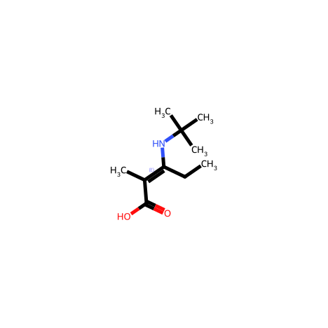 CC/C(NC(C)(C)C)=C(/C)C(=O)O